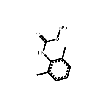 CCCCOC(=O)Nc1c(C)cccc1C